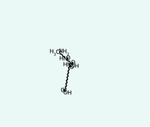 CC(N)CCCCNC(=O)CCC(NC(=O)CCCCCCCCCCCCCCC(=O)O)C(=O)O